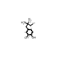 CC(N)(CF)Cc1ccc(O)c(Cl)c1